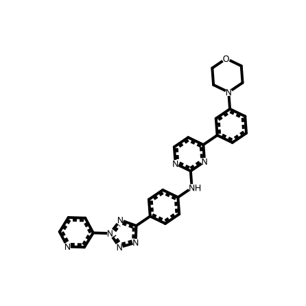 c1cc(-c2ccnc(Nc3ccc(-c4nnn(-c5cccnc5)n4)cc3)n2)cc(N2CCOCC2)c1